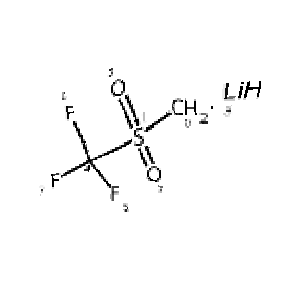 [CH2]S(=O)(=O)C(F)(F)F.[LiH]